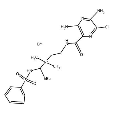 CCCCC(NS(=O)(=O)c1ccccc1)[N+](C)(C)CCNC(=O)c1nc(Cl)c(N)nc1N.[Br-]